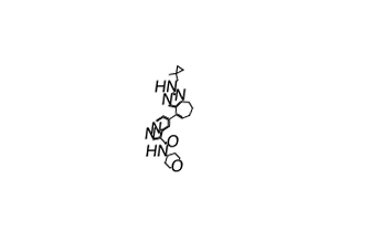 CC1(CNc2ncc3c(n2)CCCC=C3c2ccn3ncc(C(=O)NC4CCOCC4)c3c2)CC1